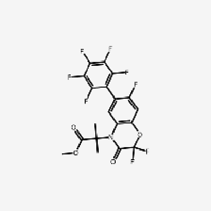 COC(=O)C(C)(C)N1C(=O)C(F)(F)Oc2cc(F)c(-c3c(F)c(F)c(F)c(F)c3F)cc21